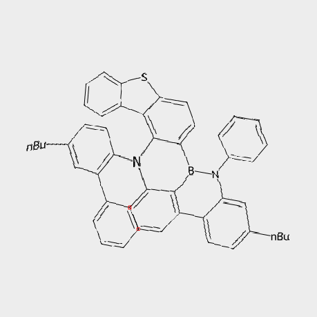 CCCCc1ccc(N2c3cccc4c3B(c3ccc5sc6ccccc6c5c32)N(c2ccccc2)c2cc(CCCC)ccc2-4)c(-c2ccccc2)c1